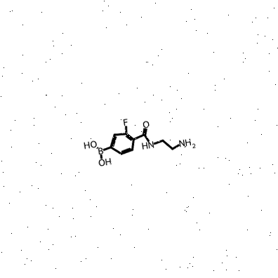 NCCNC(=O)c1ccc(B(O)O)cc1F